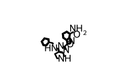 NC(=O)c1cccc2c(-c3nc4c(c(NCc5ccccc5)n3)CCNC4)onc12